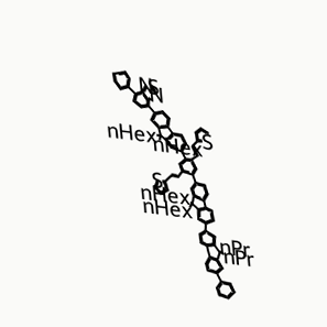 CCCCCCC1(CCCCCC)c2cc(-c3ccc4c(c3)C(CCC)(CCC)c3cc(-c5ccccc5)ccc3-4)ccc2-c2ccc(-c3cc(/C=C/c4cccs4)c(-c4ccc5c(c4)C(CCCCCC)(CCCCCC)c4cc(-c6ccc(-c7ccccc7)c7nsnc67)ccc4-5)cc3/C=C/c3cccs3)cc21